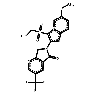 CCS(=O)(=O)c1c(N2Cc3ncc(C(F)(F)F)cc3C2=O)nc2ccc(OC)cn12